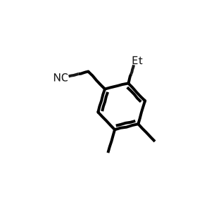 CCc1cc(C)c(C)cc1CC#N